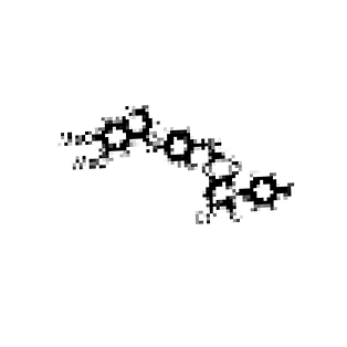 CCn1cc(OC(=O)Nc2ccc(Oc3ccnc4cc(OC)c(OC)cc34)cc2F)c(=O)n(-c2ccc(F)cc2)c1=O